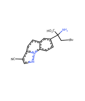 CC(C)(C)CC(N)(C(=O)O)c1ccc2c(ccc3c(C#N)cnn32)c1